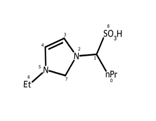 CCCC(N1C=CN(CC)C1)S(=O)(=O)O